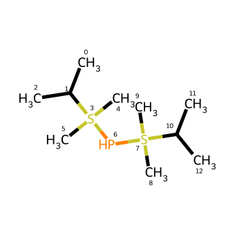 CC(C)S(C)(C)PS(C)(C)C(C)C